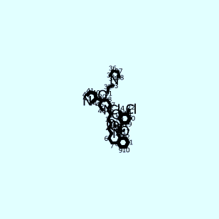 O=C(COCC1CCc2ccccc2N1S(=O)(=O)c1ccc(Cl)c(Cl)c1)N1CCC(OCCCN2CCCC2)(c2cccnc2)CC1